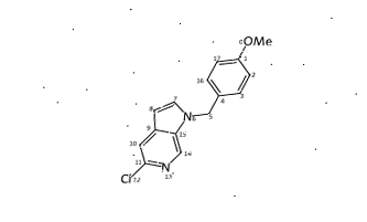 COc1ccc(Cn2[c]cc3cc(Cl)ncc32)cc1